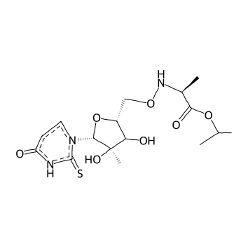 CC(C)OC(=O)[C@H](C)NOC[C@H]1O[C@@H](n2ccc(=O)[nH]c2=S)[C@](C)(O)C1O